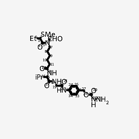 CCC(SC)C(=O)N(C=O)CCCCCC(=O)NC(C(=O)NCC(=O)Nc1ccc(COC(=O)NN)cc1)C(C)C